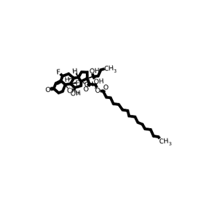 CCCCCCCCCCCCCCCC(=O)OCC(=O)[C@@]1(C(O)(O)CCC)CC[C@H]2[C@@H]3CC(F)C4=CC(=O)CC[C@]4(C)[C@@]3(F)C(O)C[C@@]21C